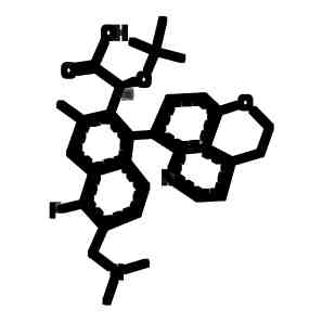 Cc1cc2c(F)c(CN(C)C)ccc2c(-c2ccc3c4c(ccnc24)CCO3)c1[C@H](OC(C)(C)C)C(=O)O